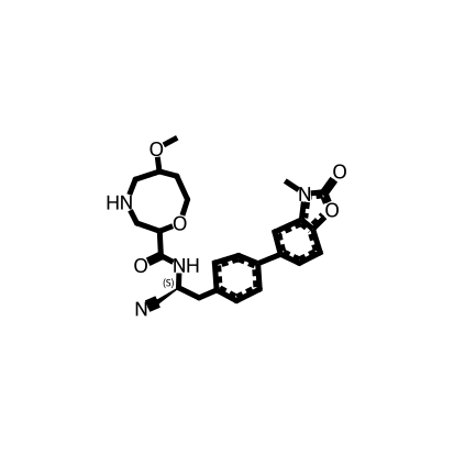 COC1CCOC(C(=O)N[C@H](C#N)Cc2ccc(-c3ccc4oc(=O)n(C)c4c3)cc2)CNC1